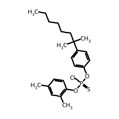 CCCCCCC(C)(C)c1ccc(OP(=S)(Cl)Oc2ccc(C)cc2C)cc1